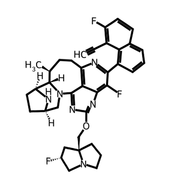 C#Cc1c(F)ccc2cccc(-c3nc4c5c(nc(OC[C@@]67CCCN6C[C@H](F)C7)nc5c3F)N3C[C@H]5CC[C@H](N5)[C@@H]3[C@@H](C)CC4)c12